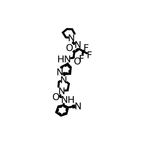 N#Cc1ccccc1NC(=O)N1CCN(c2ccc(NC(=O)c3oc(N4CCCCC4)nc3C(F)(F)F)cn2)CC1